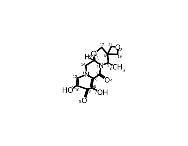 C[C@H]1N2C(=O)c3c(O)c(=O)c(O)cn3C[C@@H]2OCC12COC2